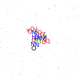 C=C[C@@H]1C[C@]1(NC(=O)[C@@H]1C[C@@H](Oc2nc3ccccc3nc2Cl)CN1C(=O)[C@@H](NC(=O)OC(C)(C)C)C(C)(C)C)C(=O)OCC